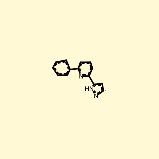 [c]1cc(-c2cccc(-c3ccccc3)n2)[nH]n1